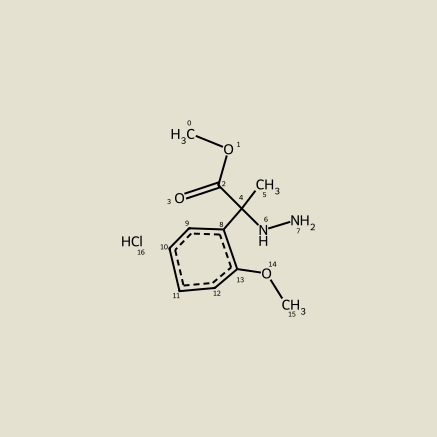 COC(=O)C(C)(NN)c1ccccc1OC.Cl